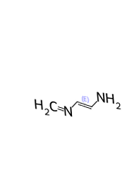 C=N/C=C/N